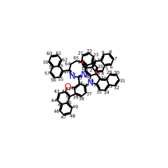 C1=C(c2ccc3ccccc3c2)/N=C(c2c(-n3c4cc5ccccc5cc4c4c5ccccc5ccc43)ccc3c2oc2ccc4ccccc4c23)\N=C(\c2cccc3ccccc23)CC\1